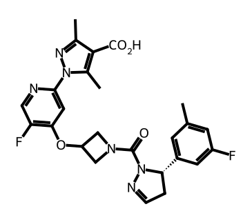 Cc1cc(F)cc([C@@H]2CC=NN2C(=O)N2CC(Oc3cc(-n4nc(C)c(C(=O)O)c4C)ncc3F)C2)c1